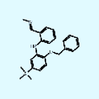 C/N=C/c1ccccc1Pc1cc([Si](C)(C)C)ccc1OCc1ccccc1